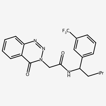 CC(C)CC(NC(=O)Cn1nnc2ccccc2c1=O)c1cccc(C(F)(F)F)c1